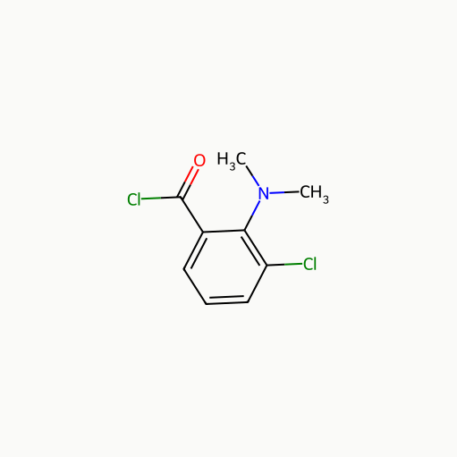 CN(C)c1c(Cl)cccc1C(=O)Cl